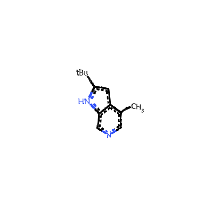 Cc1cncc2[nH]c(C(C)(C)C)cc12